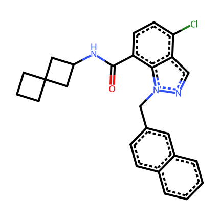 O=C(NC1CC2(CCC2)C1)c1ccc(Cl)c2cnn(Cc3ccc4ccccc4c3)c12